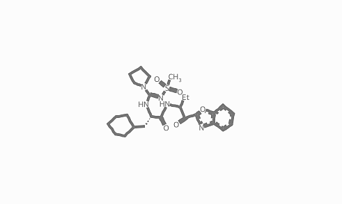 CCC(NC(=O)[C@H](CC1CCCCC1)NC(=NS(C)(=O)=O)N1CCCC1)C(=O)c1nc2ccccc2o1